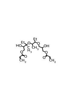 C=CC(=O)OCC(O)COC(CC)C(C)OC(C)(CC)C(O)COC(=O)C=C